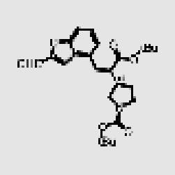 CC(C)(C)OC(=O)C(Cc1cccc2oc(C=O)cc12)[C@H]1CCN(C(=O)OC(C)(C)C)C1